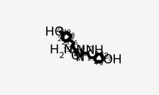 N[C@@H](Cc1ccc(O)cc1)c1noc([C@@H](N)Cc2ccc(O)cc2)n1